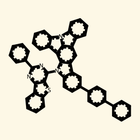 c1ccc(-c2ccc(-c3ccc4c(c3)c3cc5c6ccccc6n6c7ccccc7c(c3n4-c3nc(-c4ccccc4)nc4c3sc3ccccc34)c56)cc2)cc1